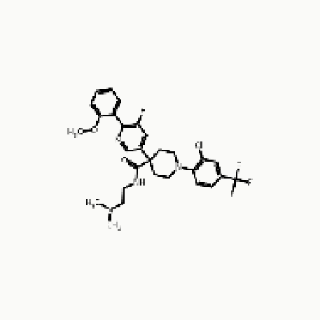 COc1ccccc1-c1ncc(C2(C(=O)NCCN(C)C)CCN(c3ccc(C(F)(F)F)cc3Cl)CC2)cc1F